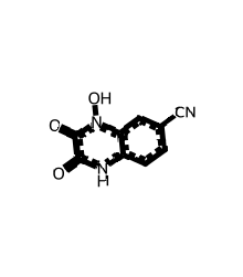 N#Cc1ccc2[nH]c(=O)c(=O)n(O)c2c1